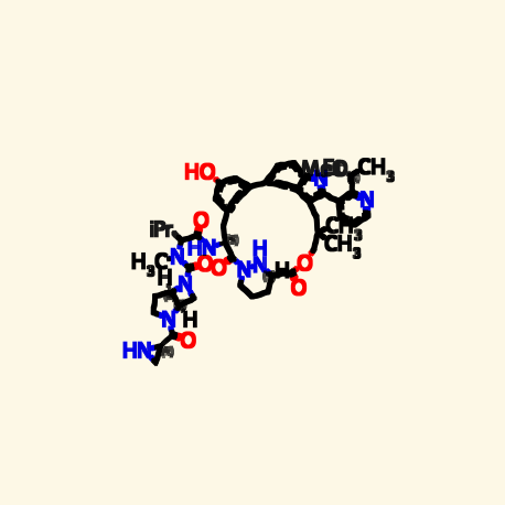 CCn1c(-c2cccnc2[C@H](C)OC)c2c3cc(ccc31)-c1cc(O)cc(c1)C[C@H](NC(=O)C(C(C)C)N(C)C(=O)N1C[C@@H]3[C@H]1CCN3C(=O)[C@H]1CN1)C(=O)N1CCC[C@H](N1)C(=O)OCC(C)(C)C2